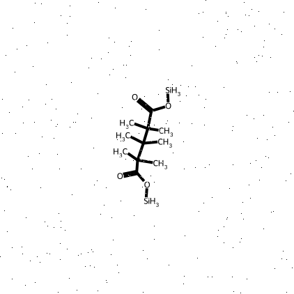 CC(C)(C(=O)O[SiH3])C(C)(C)C(C)(C)C(=O)O[SiH3]